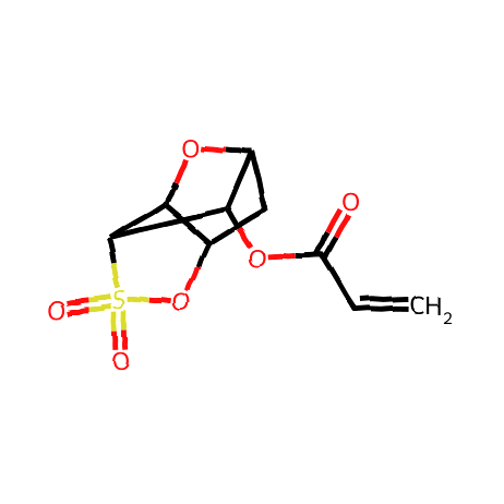 C=CC(=O)OC1C2CC3OS(=O)(=O)C1C3O2